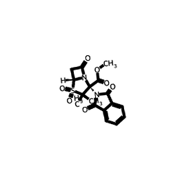 COC(=O)[C@]1(N2C(=O)c3ccccc3C2=O)N2C(=O)C[C@H]2S(=O)(=O)C1(C)C